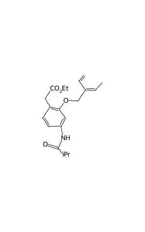 C=C/C(=C\C)COc1cc(NC(=O)C(C)C)ccc1CC(=O)OCC